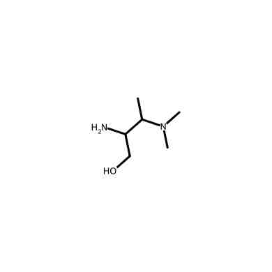 CC(C(N)CO)N(C)C